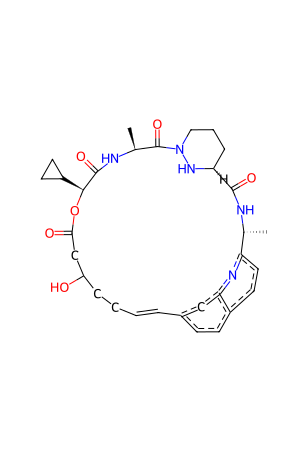 C[C@@H]1NC(=O)[C@H](C2CC2)OC(=O)CC(O)CC/C=C/c2ccc3ccc(nc3c2)[C@@H](C)NC(=O)[C@@H]2CCCN(N2)C1=O